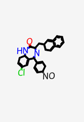 O=NC1C=CC(C2=NC(CC3C=c4ccccc4=CC3)C(=O)NC3CC=C(Cl)C=C23)=CC1